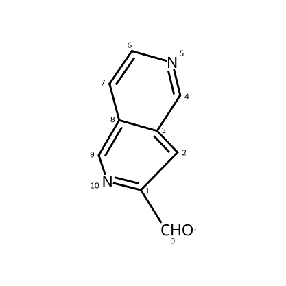 O=[C]c1cc2cnccc2cn1